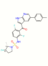 Cc1ccc(-c2cnc3[nH]cc(C(=O)c4c(F)ccc(NS(=O)(=O)N5CC[C@@H](F)[C@@H]5C)c4F)c3c2)cc1